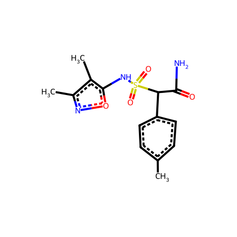 Cc1ccc(C(C(N)=O)S(=O)(=O)Nc2onc(C)c2C)cc1